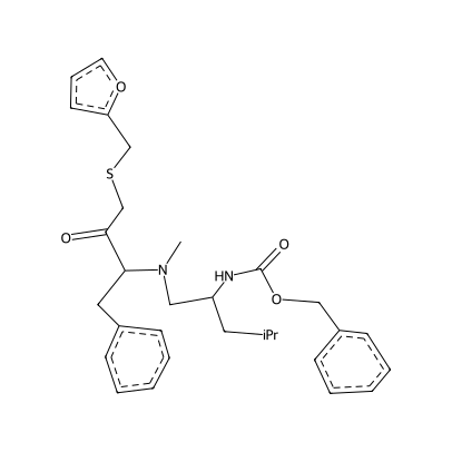 CC(C)CC(CN(C)C(Cc1ccccc1)C(=O)CSCc1ccco1)NC(=O)OCc1ccccc1